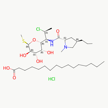 CCCCCCCCCCCCCCCC(=O)O.CCC[C@@H]1C[C@@H](C(=O)N[C@@H]([C@H]2O[C@H](SC)[C@H](O)[C@@H](O)[C@H]2O)[C@H](C)Cl)N(C)C1.Cl